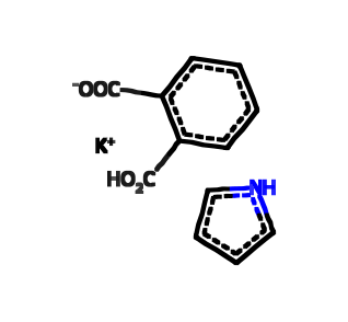 O=C([O-])c1ccccc1C(=O)O.[K+].c1cc[nH]c1